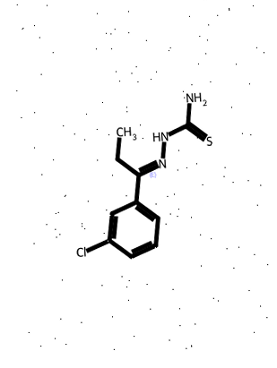 CC/C(=N\NC(N)=S)c1cccc(Cl)c1